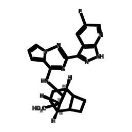 O=C(O)[C@@H]1C(Nc2nc(-c3n[nH]c4ncc(F)cc34)nn3cccc23)[C@@H]2CC[C@H]1C1CCC12